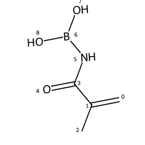 C=C(C)C(=O)NB(O)O